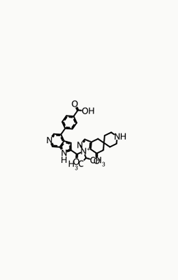 CC(C)[N+]1(C(=O)c2cc3c(-c4ccc(C(=O)O)cc4)cncc3[nH]2)N=CC2=C1C(=O)CC1(CCNCC1)C2